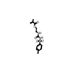 C=C(C)C(=O)OCCNC(=O)NS(=O)(=O)c1ccc(C)cc1